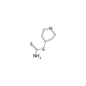 NC(=S)Sc1ccncc1